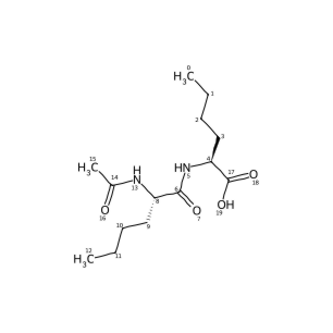 CCCC[C@H](NC(=O)[C@H](CCCC)NC(C)=O)C(=O)O